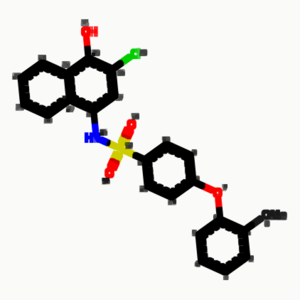 COc1ccccc1Oc1ccc(S(=O)(=O)Nc2cc(Cl)c(O)c3ccccc23)cc1